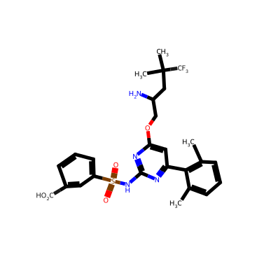 Cc1cccc(C)c1-c1cc(OCC(N)CC(C)(C)C(F)(F)F)nc(NS(=O)(=O)c2cccc(C(=O)O)c2)n1